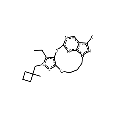 CCc1c2c(nn1CC1(C)CCC1)OCCCn1nc(Cl)c3cnc(nc31)N2